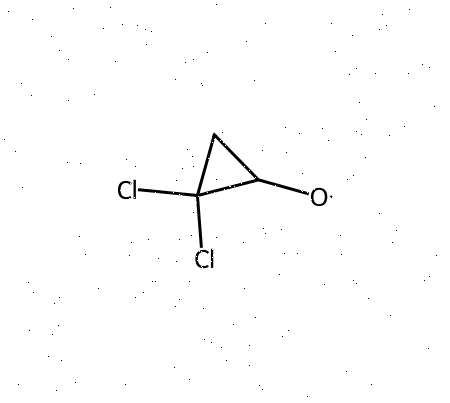 [O]C1CC1(Cl)Cl